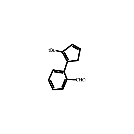 CC(C)(C)C1=C(c2ccccc2C=O)CC=C1